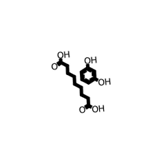 O=C(O)CCCCCCCC(=O)O.Oc1cccc(O)c1